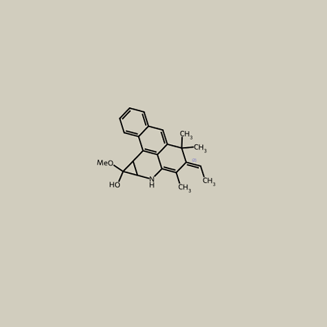 C/C=C1\C(C)=C2NC3C(c4c2c(cc2ccccc42)C1(C)C)C3(O)OC